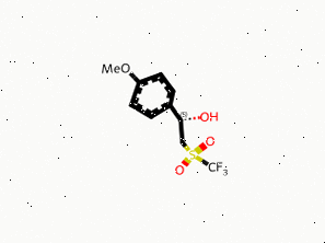 COc1ccc([C@H](O)CS(=O)(=O)C(F)(F)F)cc1